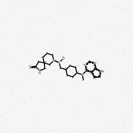 CN(c1ncnc2[nH]ccc12)C1CCC(C[S+]([O-])N2CCCC3(CNC(=O)C3)C2)CC1